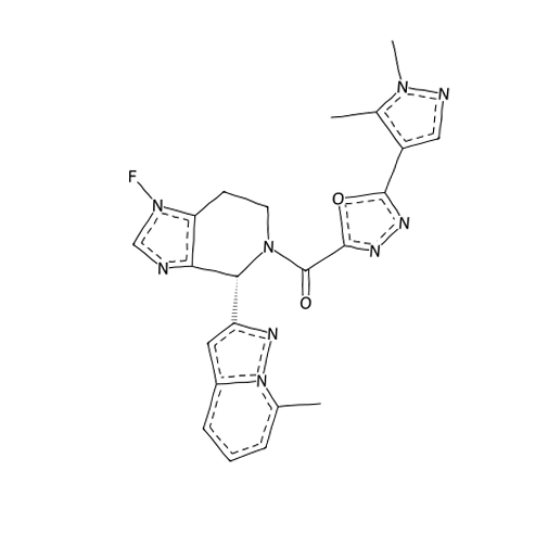 Cc1c(-c2nnc(C(=O)N3CCc4c(ncn4F)[C@H]3c3cc4cccc(C)n4n3)o2)cnn1C